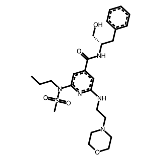 CCCN(c1cc(C(=O)N[C@H](CO)Cc2ccccc2)cc(NCCN2CCOCC2)n1)S(C)(=O)=O